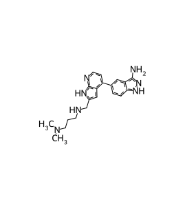 CN(C)CCCNCc1cc2c(-c3ccc4[nH]nc(N)c4c3)ccnc2[nH]1